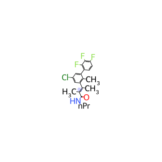 CCCNC(=O)/C(C)=C(\C)c1cc(Cl)cc(-c2ccc(F)c(F)c2F)c1C